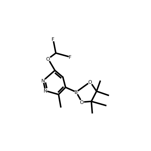 Cc1nnc(OC(F)F)cc1B1OC(C)(C)C(C)(C)O1